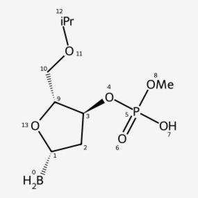 B[C@H]1C[C@H](OP(=O)(O)OC)[C@@H](COC(C)C)O1